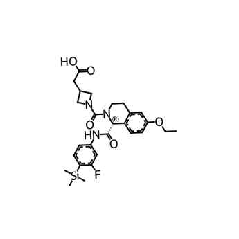 CCOc1ccc2c(c1)CCN(C(=O)N1CC(CC(=O)O)C1)[C@H]2C(=O)Nc1ccc([Si](C)(C)C)c(F)c1